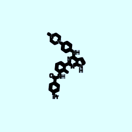 Cc1c(NC(=O)c2ccc(C(C)C)cc2)cccc1-c1nc(Nc2ccc(N3CCN(C)CC3)cc2)c2cc[nH]c2n1